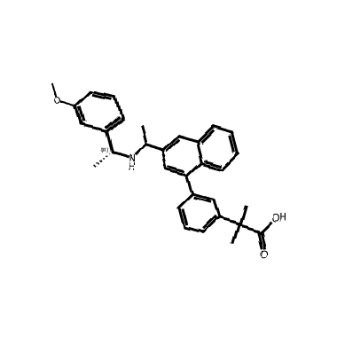 COc1cccc([C@@H](C)NC(C)c2cc(-c3cccc(C(C)(C)C(=O)O)c3)c3ccccc3c2)c1